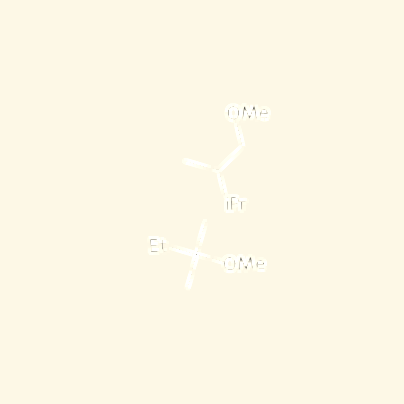 CCC(C)(C)OC.COCC(C)C(C)C